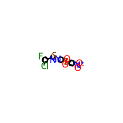 O=[N+]([O-])c1ccc(S(=O)(=O)C2CCN(c3nc(-c4cc(F)cc(Cl)c4)cs3)CC2)cc1